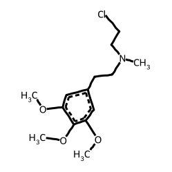 COc1cc(CCN(C)CCCl)cc(OC)c1OC